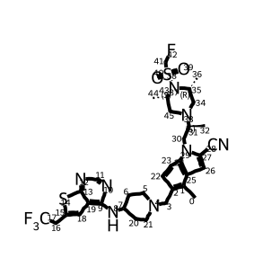 Cc1c(CN2CCC(Nc3ncnc4sc(CC(F)(F)F)cc34)CC2)ccc2c1cc(C#N)n2C[C@H](C)N1C[C@@H](C)N(S(=O)(=O)CF)[C@@H](C)C1